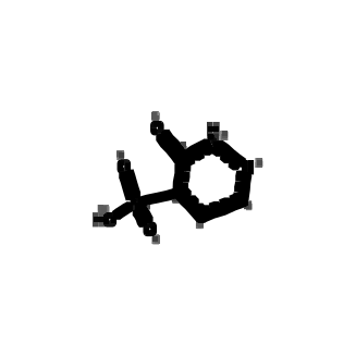 O=c1[nH]nccc1S(=O)(=O)O